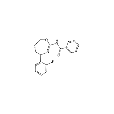 O=C(NC1=NC(c2ccccc2F)CCCO1)c1ccccc1